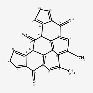 Cc1cc2c3c4c5c(cc(C)c14)C(=O)C1=CCC=C1C5C(=O)C3C1=CCC=C1C2=O